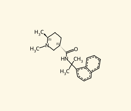 C[C@H]1CC[C@H](C(=O)NC(C)(C)c2cccc3ccccc23)CN1C